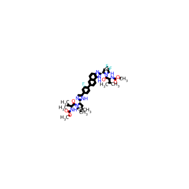 COC(=O)N[C@H](C(=O)N1C[Si](C)(C)C[C@H]1c1ncc(-c2ccc(-c3ccc4c(ccc5nc([C@@H]6C[Si](F)(F)CN6C(=O)[C@@H](NC(=O)OC)C(C)C)[nH]c54)c3)c(F)c2)[nH]1)C(C)C